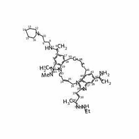 C=Nc1cc(C(=C)NCCCN2CCCCC2)cc2c1N(CNC)C/C=C/Cn1c(/C=C/C(C)=N\NCC)nc3cc(C(=C)N)cc(c31)CCCCC2